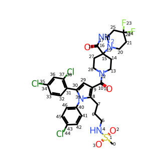 CS(=O)(=O)NCCCc1c(C(=O)N2CCC(C(N)=O)(N3CCC(F)(F)CC3)CC2)cc(-c2ccc(Cl)cc2Cl)n1-c1ccc(Cl)cc1